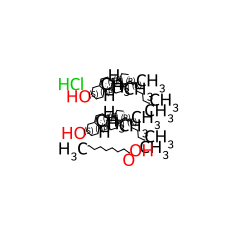 CC(C)CCC[C@@H](C)[C@H]1CC[C@H]2[C@@H]3CC=C4C[C@@H](O)CC[C@]4(C)[C@H]3CC[C@]12C.CC(C)CCC[C@@H](C)[C@H]1CC[C@H]2[C@@H]3CC=C4C[C@@H](O)CC[C@]4(C)[C@H]3CC[C@]12C.CCCCCCCCC(=O)O.Cl